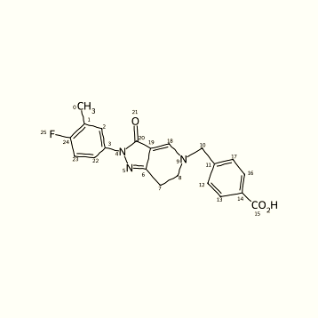 Cc1cc(N2N=C3CCN(Cc4ccc(C(=O)O)cc4)C=C3C2=O)ccc1F